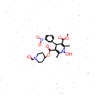 COC(=O)C1=C(C)N(O)C(C)=C(C(=O)OC2CCN(C=O)CC2)C1c1cccc([N+](=O)[O-])c1